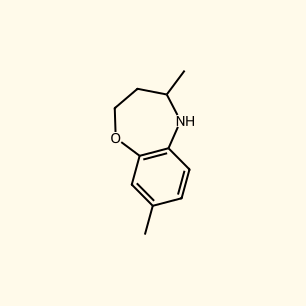 Cc1ccc2c(c1)OCCC(C)N2